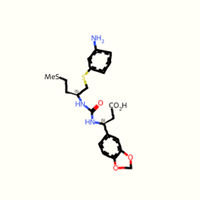 CSCC[C@@H](CSc1cccc(N)c1)NC(=O)N[C@@H](CC(=O)O)c1ccc2c(c1)OCO2